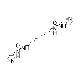 O=C(NCCCCCCCCCCCNC(=O)NCc1cccnc1)NCc1cccnc1